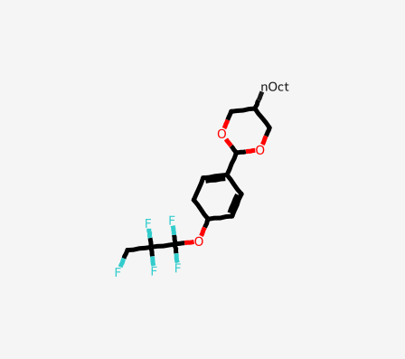 CCCCCCCCC1COC(C2=CCC(OC(F)(F)C(F)(F)CF)C=C2)OC1